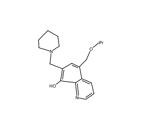 CC(C)OCc1cc(CN2CCCCC2)c(O)c2ncccc12